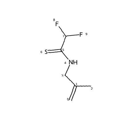 C=C(C)CNC(=S)C(F)F